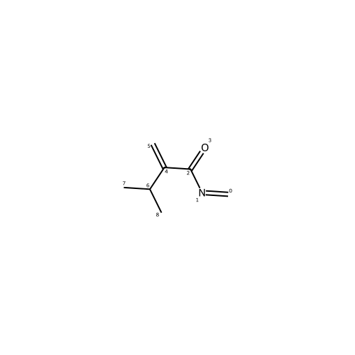 C=NC(=O)C(=C)C(C)C